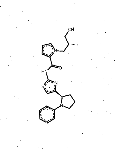 C[C@@H](CC#N)Cn1cccc1C(=O)Nc1nc([C@H]2CCCN2c2ccccc2)cs1